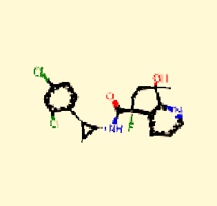 C[C@]1(O)CC[C@@](F)(C(=O)N[C@@H]2C[C@H]2c2ccc(Cl)cc2Cl)c2cccnc21